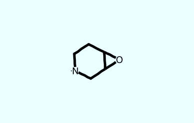 C1CC2OC2C[N]1